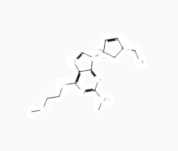 CNc1nc(OCCOC)c2ncn([C@H]3C=C[C@@H](CO)C3)c2n1